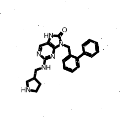 O=c1[nH]c2cnc(NCC3CCNC3)nc2n1Cc1ccccc1-c1ccccc1